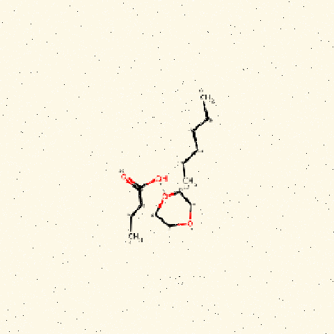 C1COCCO1.CCCC(=O)O.CCCCCC